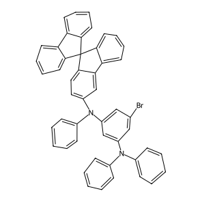 Brc1cc(N(c2ccccc2)c2ccccc2)cc(N(c2ccccc2)c2ccc3c(c2)-c2ccccc2C32c3ccccc3-c3ccccc32)c1